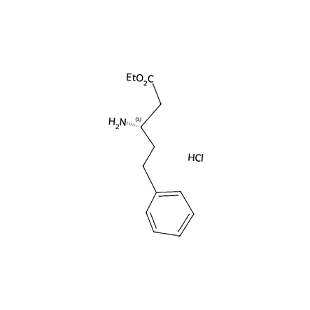 CCOC(=O)C[C@@H](N)CCc1ccccc1.Cl